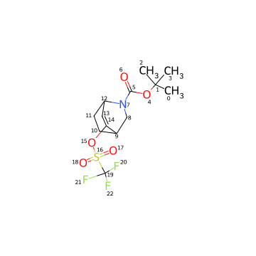 CC(C)(C)OC(=O)N1CC2CCC1C=C2OS(=O)(=O)C(F)(F)F